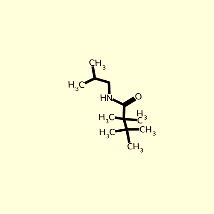 CC(C)CNC(=O)C(C)(C)C(C)(C)C